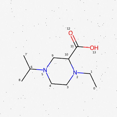 CCN1CCN(C(C)C)CC1C(=O)O